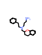 NCCCN(CCc1ccccc1)CC1CCc2ccccc2O1